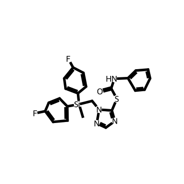 C[Si](Cn1ncnc1SC(=O)Nc1ccccc1)(c1ccc(F)cc1)c1ccc(F)cc1